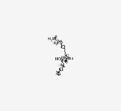 Cc1ncsc1-c1ccc([C@H](C)NC[C@@H]2C[C@@H](O)CN2C(=O)[C@@H](NC(=O)CCCCc2ccc(CO[C@H](C)[C@@H](N)CCC(N)=O)cc2)C(C)(C)C)cc1